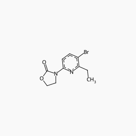 CCc1nc(N2CCOC2=O)ccc1Br